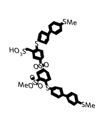 COS(=O)(=O)c1cc(S(=O)(=O)c2ccc(Sc3ccc(-c4ccc(SC)cc4)cc3)c(CS(=O)(=O)O)c2)ccc1Sc1ccc(-c2ccc(SC)cc2)cc1